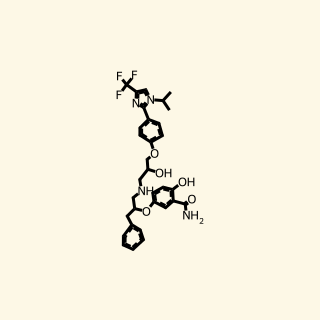 CC(C)n1cc(C(F)(F)F)nc1-c1ccc(OCC(O)CNCC(Cc2ccccc2)Oc2ccc(O)c(C(N)=O)c2)cc1